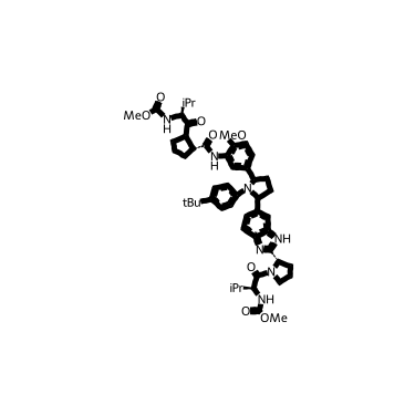 COC(=O)N[C@H](C(=O)C1CCC[C@H]1C(=O)Nc1cc(C2CCC(c3ccc4nc([C@@H]5CCCN5C(=O)[C@@H](NC(=O)OC)C(C)C)[nH]c4c3)N2c2ccc(C(C)(C)C)cc2)ccc1OC)C(C)C